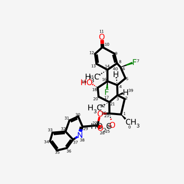 C[C@@H]1C[C@H]2[C@@H]3C[C@H](F)C4=CC(=O)C=C[C@]4(C)[C@@]3(F)[C@@H](O)C[C@]2(C)[C@]1(OC(=O)O)OC(=O)c1ccc2ccccc2n1